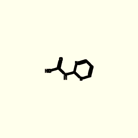 O=C(O)NC1N=CC=CS1